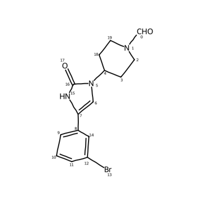 O=CN1CCC(n2cc(-c3cccc(Br)c3)[nH]c2=O)CC1